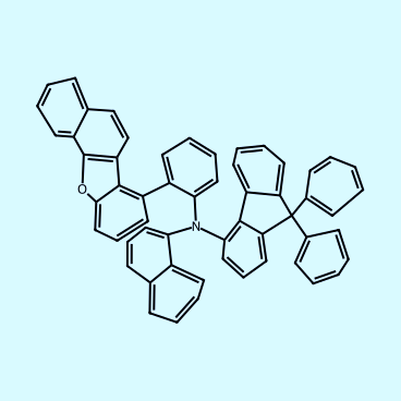 c1ccc(C2(c3ccccc3)c3ccccc3-c3c(N(c4ccccc4-c4cccc5oc6c7ccccc7ccc6c45)c4cccc5ccccc45)cccc32)cc1